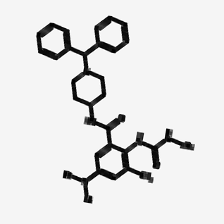 CCCCNC(=O)Nc1c(C)cc(N(CC)CC)cc1C(=O)NC1CCN(C(c2ccccc2)c2ccccc2)CC1